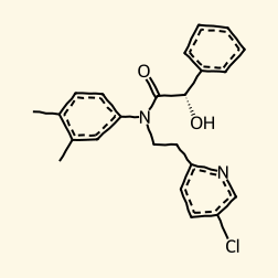 Cc1ccc(N(CCc2ccc(Cl)cn2)C(=O)[C@@H](O)c2ccccc2)cc1C